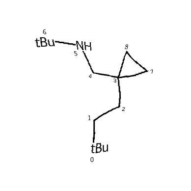 CC(C)(C)CCC1(CNC(C)(C)C)CC1